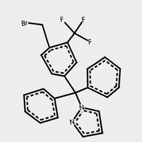 FC(F)(F)c1cc(C(c2ccccc2)(c2ccccc2)n2cccn2)ccc1CBr